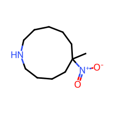 CC1([N+](=O)[O-])CCCCCNCCCC1